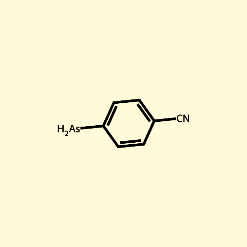 N#Cc1ccc([AsH2])cc1